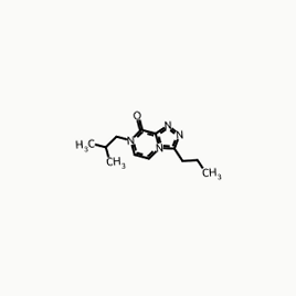 CCCc1nnc2c(=O)n(CC(C)C)ccn12